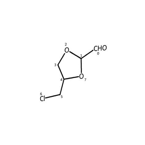 O=CC1OCC(CCl)O1